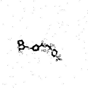 Cc1cc(COc2ccc(C(=O)NC[C@@](C)(C(=O)O)N3CCN(S(=O)(=O)C(C)C)CC3)cc2)c2ccccc2n1